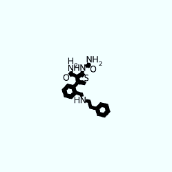 NC(=O)Nc1scc(-c2ccccc2CNCCc2ccccc2)c1C(N)=O